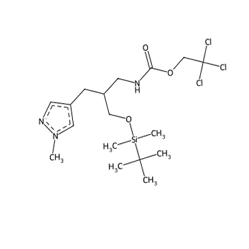 Cn1cc(CC(CNC(=O)OCC(Cl)(Cl)Cl)CO[Si](C)(C)C(C)(C)C)cn1